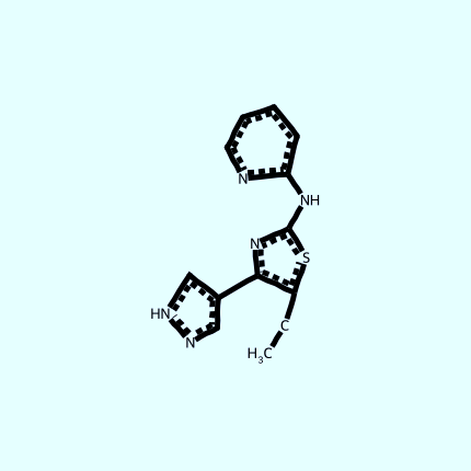 CCc1sc(Nc2ccccn2)nc1-c1cn[nH]c1